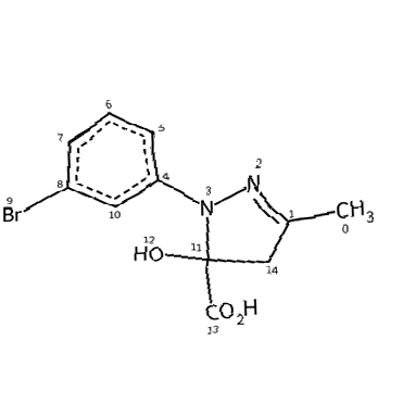 CC1=NN(c2cccc(Br)c2)C(O)(C(=O)O)C1